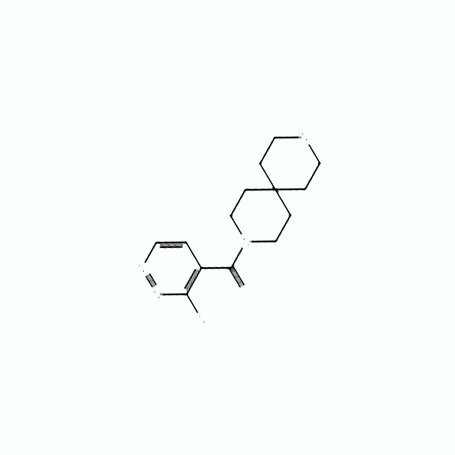 Nc1nnccc1C(=O)N1CCC2(CCNCC2)CC1